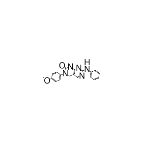 COc1ccc(N2Cc3cnc(Nc4ccccc4)nc3N(C)C2=O)cc1